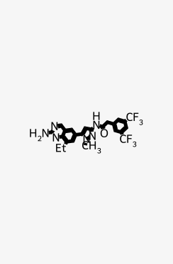 CCc1cc(-c2cc(NC(=O)Cc3cc(C(F)(F)F)cc(C(F)(F)F)c3)nn2C)cc2cnc(N)nc12